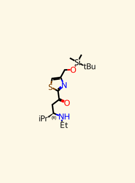 CCN[C@H](CC(=O)c1nc(CO[Si](C)(C)C(C)(C)C)cs1)C(C)C